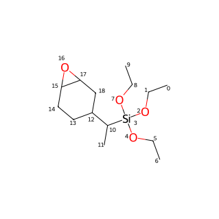 CCO[Si](OCC)(OCC)C(C)C1CCC2OC2C1